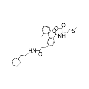 COC(=O)[C@H](CCSC)NC(=O)c1ccc(CCC(=O)NCCCCC2CCCCC2)cc1-c1ccccc1C